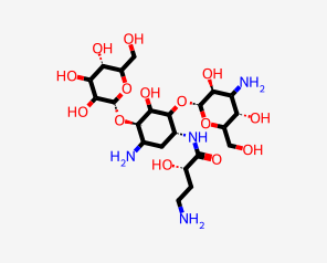 NCC[C@H](O)C(=O)N[C@@H]1CC(N)[C@@H](O[C@H]2OC(CO)[C@@H](O)C(O)C2O)C(O)C1O[C@H]1OC(CO)[C@@H](O)C(N)[C@@H]1O